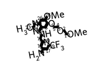 COCCOCCOc1cc2c(NCc3cc(N)cc(C(F)(F)F)n3)nc(C)nc2cc1OC